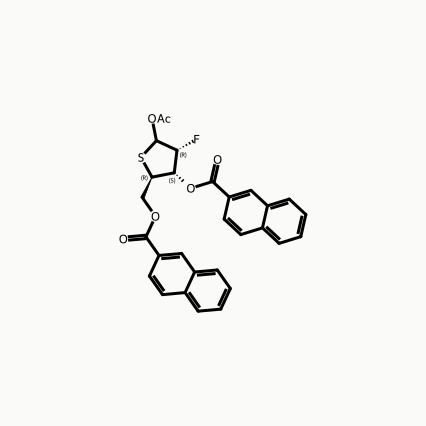 CC(=O)OC1S[C@H](COC(=O)c2ccc3ccccc3c2)[C@@H](OC(=O)c2ccc3ccccc3c2)[C@H]1F